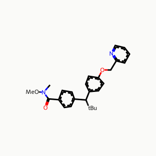 CON(C)C(=O)c1ccc(C(c2ccc(OCc3ccccn3)cc2)C(C)(C)C)cc1